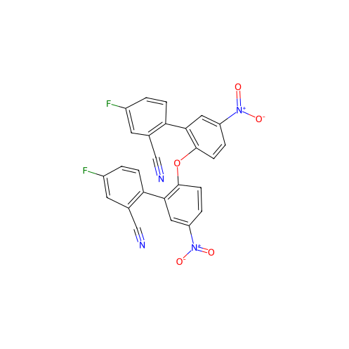 N#Cc1cc(F)ccc1-c1cc([N+](=O)[O-])ccc1Oc1ccc([N+](=O)[O-])cc1-c1ccc(F)cc1C#N